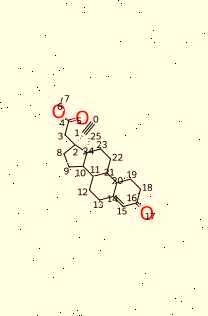 C#C[C@@]1(CC(=O)OC)CCC2C3CCC4=CC(=O)CCC4C3CC[C@@]21C